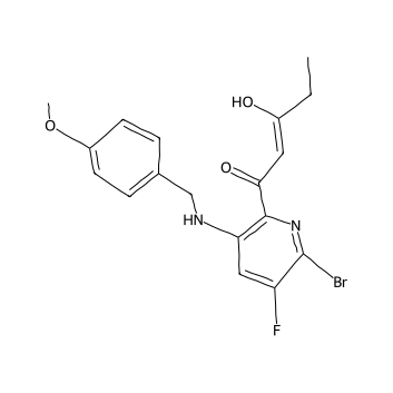 CCC(O)=CC(=O)c1nc(Br)c(F)cc1NCc1ccc(OC)cc1